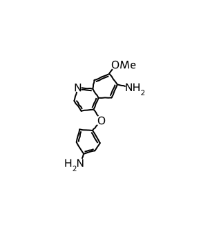 COc1cc2nccc(Oc3ccc(N)cc3)c2cc1N